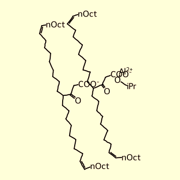 CC(C)[O][Al+2].CCCCCCCC/C=C\CCCCCCCCC(CCCCCCCC/C=C\CCCCCCCC)C(=O)CC(=O)[O-].CCCCCCCC/C=C\CCCCCCCCC(CCCCCCCC/C=C\CCCCCCCC)C(=O)CC(=O)[O-]